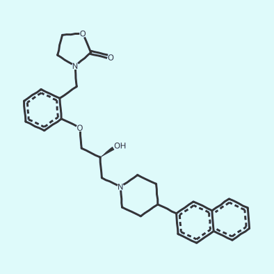 O=C1OCCN1Cc1ccccc1OC[C@@H](O)CN1CCC(c2ccc3ccccc3c2)CC1